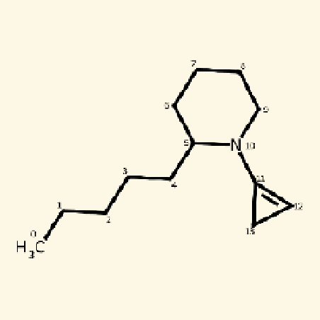 CCCCCC1CCCCN1C1=CC1